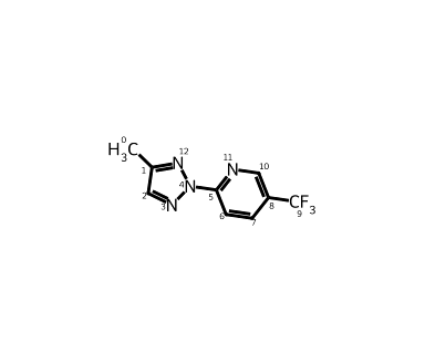 Cc1cnn(-c2ccc(C(F)(F)F)cn2)n1